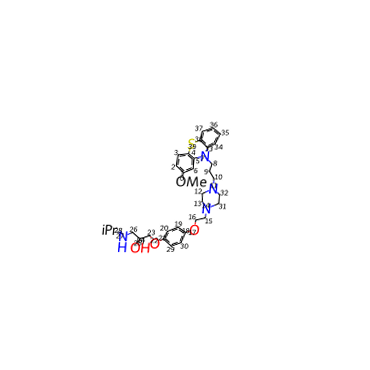 COc1ccc2c(c1)N(CCCN1CCN(CCOc3ccc(OC[C@@H](O)CNC(C)C)cc3)CC1)c1ccccc1S2